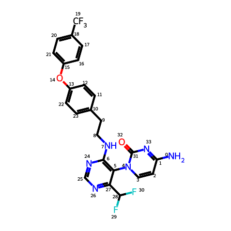 Nc1ccn(-c2c(NCCc3ccc(Oc4ccc(C(F)(F)F)cc4)cc3)ncnc2C(F)F)c(=O)n1